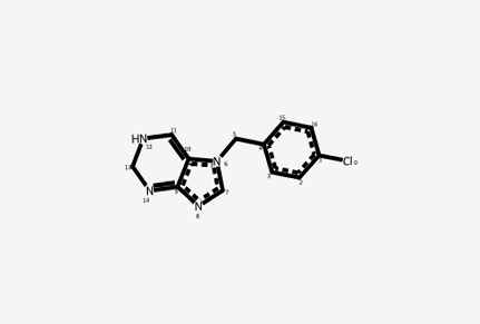 Clc1ccc(Cn2cnc3c2=CNCN=3)cc1